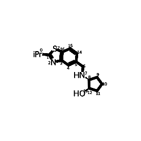 CC(C)c1nc2cc(CN[C@@H]3CCC[C@H]3O)ccc2s1